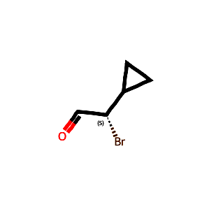 O=C[C@@H](Br)C1CC1